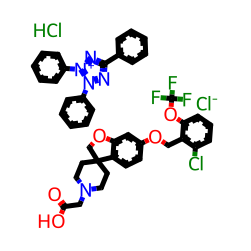 Cl.O=C(O)CN1CCC2(CC1)COc1cc(OCc3c(Cl)cccc3OC(F)(F)F)ccc12.[Cl-].c1ccc(-c2nn(-c3ccccc3)[n+](-c3ccccc3)n2)cc1